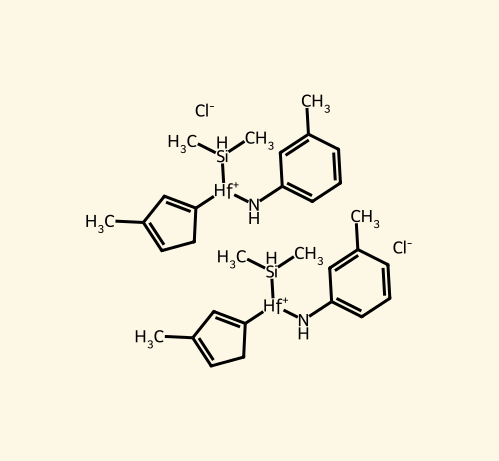 CC1=CC[C]([Hf+]([NH]c2cccc(C)c2)[SiH](C)C)=C1.CC1=CC[C]([Hf+]([NH]c2cccc(C)c2)[SiH](C)C)=C1.[Cl-].[Cl-]